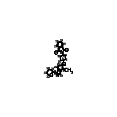 Cc1c(O[C@H]2CC[C@@H](N3C(=O)c4ccccc4C3=O)CC2)ccc2c1cnn2C1CCCCO1